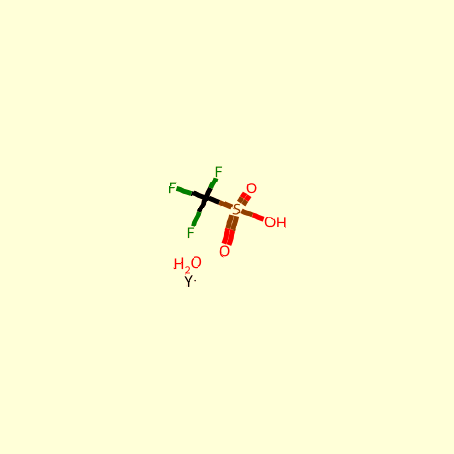 O.O=S(=O)(O)C(F)(F)F.[Y]